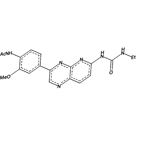 CCNC(=O)Nc1ccc2ncc(-c3ccc(NC(C)=O)c(OC)c3)nc2n1